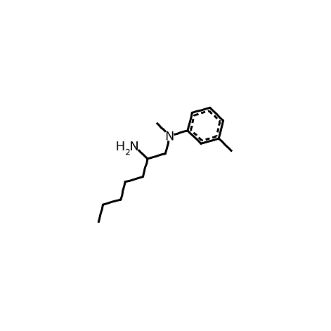 CCCCCC(N)CN(C)c1cccc(C)c1